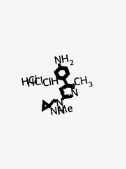 CNC1(CNc2cnc(C)c(-c3ccc(N)cc3)c2)CC1.Cl.Cl.Cl